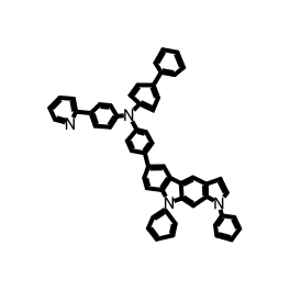 c1ccc(-c2ccc(N(c3ccc(-c4ccc5c(c4)c4cc6ccn(-c7ccccc7)c6cc4n5-c4ccccc4)cc3)c3ccc(-c4ccccn4)cc3)cc2)cc1